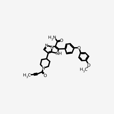 CC#CC(=O)N1CCC(c2cnn3c(C(N)=O)c(-c4ccc(Oc5ccc(OC)cc5)cc4)[nH]c23)CC1